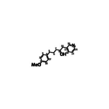 COc1ccc(CCCC(O)Cc2cccnc2)cc1